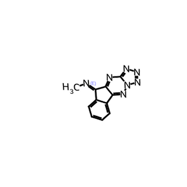 C/N=C1\c2ccccc2-c2nn3nnnc3nc21